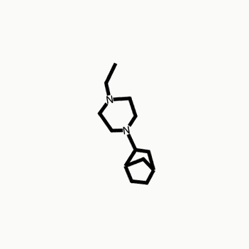 CCN1CCN(C2CC3CCC2C3)CC1